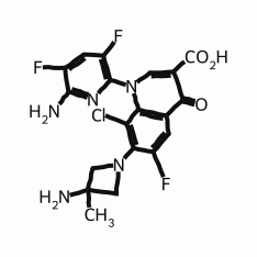 CC1(N)CN(c2c(F)cc3c(=O)c(C(=O)O)cn(-c4nc(N)c(F)cc4F)c3c2Cl)C1